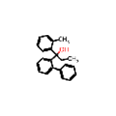 CCC(O)(c1ccccc1C)c1ccccc1-c1ccccc1